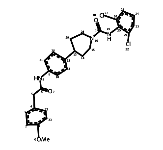 COc1ccc(CC(=O)Nc2ccc(C3CCN(C(=O)Nc4c(Cl)cccc4Cl)CC3)cc2)cc1